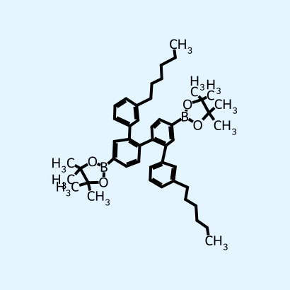 CCCCCCc1cccc(-c2cc(B3OC(C)(C)C(C)(C)O3)ccc2-c2ccc(B3OC(C)(C)C(C)(C)O3)cc2-c2cccc(CCCCCC)c2)c1